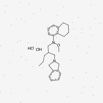 CCCC(CN1Cc2ccccc2C1)CN(OC)c1cccc2c1CCCC2.Cl.Cl